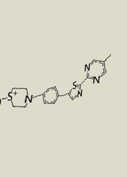 Cc1cnc(-c2ncc(-c3ccc(N4CC[S+]([O-])CC4)cc3)s2)nc1